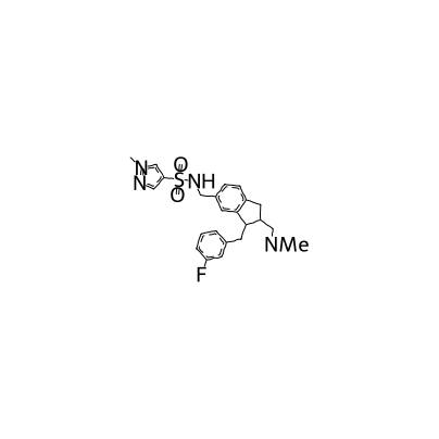 CNCC1Cc2ccc(CNS(=O)(=O)c3cnn(C)c3)cc2C1Cc1cccc(F)c1